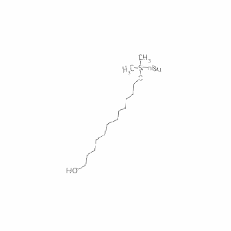 CCCC[Si](C)(C)OCCCCCCCCCCCCO